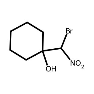 O=[N+]([O-])C(Br)C1(O)CCCCC1